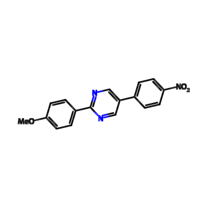 COc1ccc(-c2ncc(-c3ccc([N+](=O)[O-])cc3)cn2)cc1